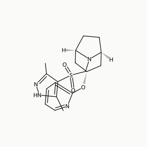 Cc1n[nH]c(C)c1S(=O)(=O)CN1[C@@H]2CC[C@H]1C[C@H](Oc1ccccn1)C2